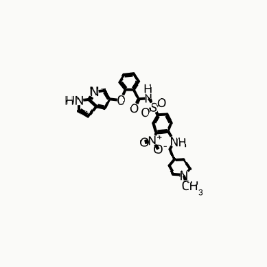 CN1CCC(CNc2ccc(S(=O)(=O)NC(=O)c3ccccc3Oc3cnc4[nH]ccc4c3)cc2[N+](=O)[O-])CC1